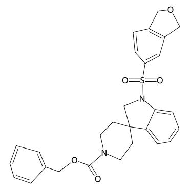 O=C(OCc1ccccc1)N1CCC2(CC1)CN(S(=O)(=O)c1ccc3c(c1)COC3)c1ccccc12